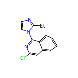 CCc1nccn1-c1nc(Cl)cc2ccccc12